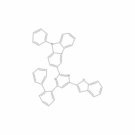 c1ccc(-c2ccccc2-c2cc(-c3cc4ccccc4o3)nc(-c3ccc4c(c3)c3ccccc3n4-c3ccccc3)n2)cc1